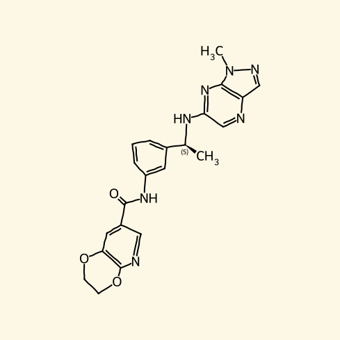 C[C@H](Nc1cnc2cnn(C)c2n1)c1cccc(NC(=O)c2cnc3c(c2)OCCO3)c1